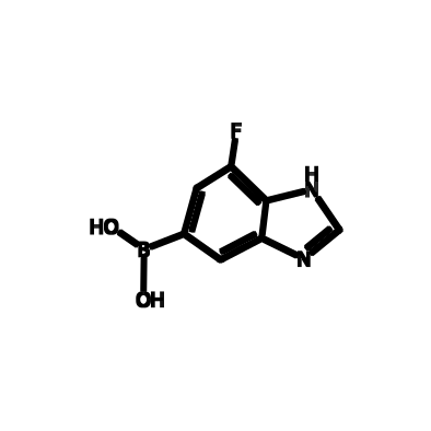 OB(O)c1cc(F)c2[nH]cnc2c1